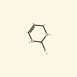 FC1OC=CCO1